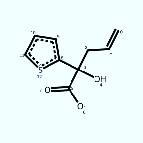 C=CCC(O)(C([O])=O)c1cccs1